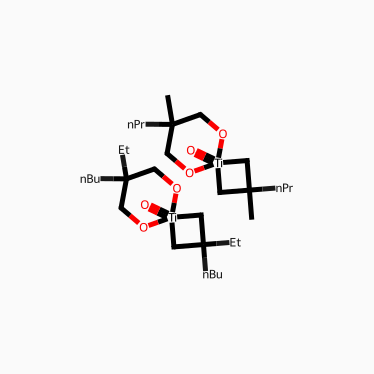 CCCC1(C)C[O][Ti]2(=[O])([CH2]C(C)(CCC)[CH2]2)[O]C1.CCCCC1(CC)C[O][Ti]2(=[O])([CH2]C(CC)(CCCC)[CH2]2)[O]C1